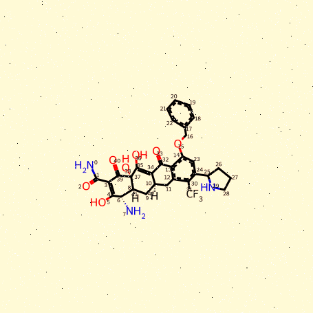 NC(=O)C1=C(O)[C@@H](N)[C@@H]2C[C@@H]3Cc4c(c(OCc5ccccc5)cc(C5CCCN5)c4C(F)(F)F)C(=O)C3=C(O)[C@]2(O)C1=O